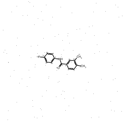 Cc1ccc(C(=O)Nc2ccc(F)cc2)cc1C